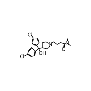 CN(C)C(=O)CCCN1CCC(C(O)(c2ccc(Cl)cc2)c2ccc(Cl)cc2)CC1